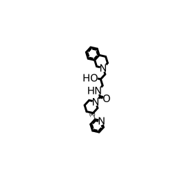 O=C(NCC(O)CN1CCc2ccccc2C1)N1CCC[C@@H](c2ccccn2)C1